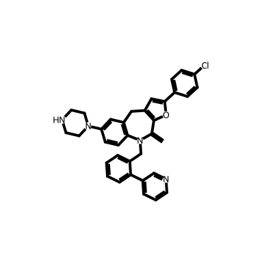 C=C1c2oc(-c3ccc(Cl)cc3)cc2Cc2cc(N3CCNCC3)ccc2N1Cc1ccccc1-c1cccnc1